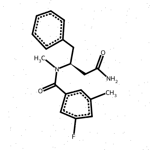 Cc1cc(F)cc(C(=O)N(C)[C@H](CC(N)=O)Cc2ccccc2)c1